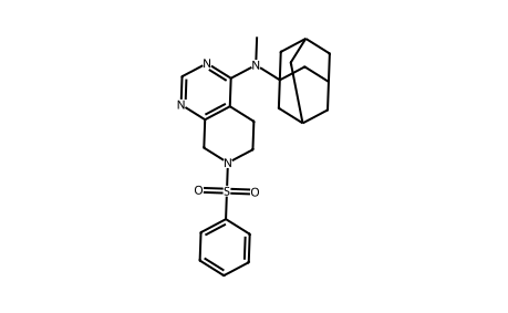 CN(c1ncnc2c1CCN(S(=O)(=O)c1ccccc1)C2)C12CC3CC(CC(C3)C1)C2